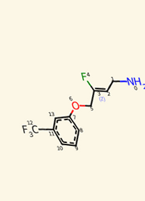 NC/C=C(\F)COc1cccc(C(F)(F)F)c1